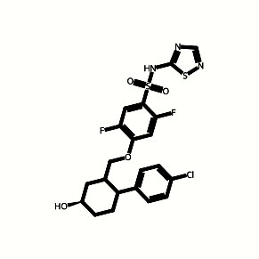 O=S(=O)(Nc1ncns1)c1cc(F)c(OCC2C[C@H](O)CCC2c2ccc(Cl)cc2)cc1F